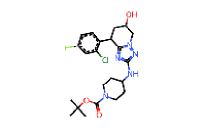 CC(C)(C)OC(=O)N1CCC(Nc2nc3n(n2)CC(O)CC3c2ccc(F)cc2Cl)CC1